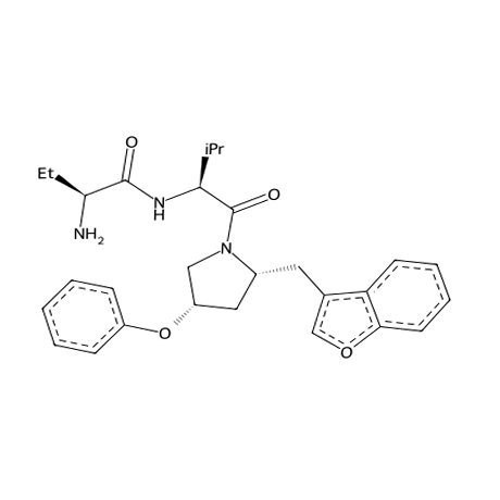 CC[C@H](N)C(=O)N[C@H](C(=O)N1C[C@@H](Oc2ccccc2)C[C@H]1Cc1coc2ccccc12)C(C)C